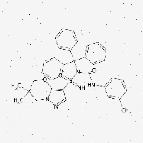 Cc1cccc(NC(=O)N(C(c2ccccc2)(c2ccccc2)c2ccccc2)S(=N)(=O)c2cnn3c2OCC(C)(C)C3)c1